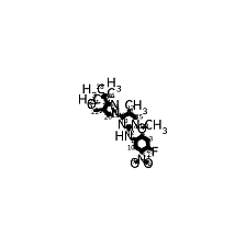 COc1cc(F)c([N+](=O)[O-])cc1Nc1ncc(C)c(-n2cc(C=O)c(C(C)(C)C)n2)n1